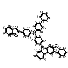 c1ccc(-c2ccc(N(c3ccc(-c4cc5ccccc5s4)cc3)c3ccc(-n4c5ccccc5c5cc6c(cc54)oc4ccccc46)cc3)cc2)cc1